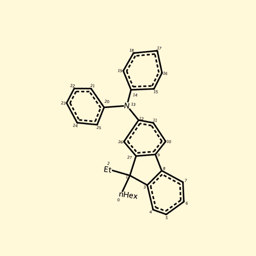 CCCCCCC1(CC)c2ccccc2-c2ccc(N(c3ccccc3)c3ccccc3)cc21